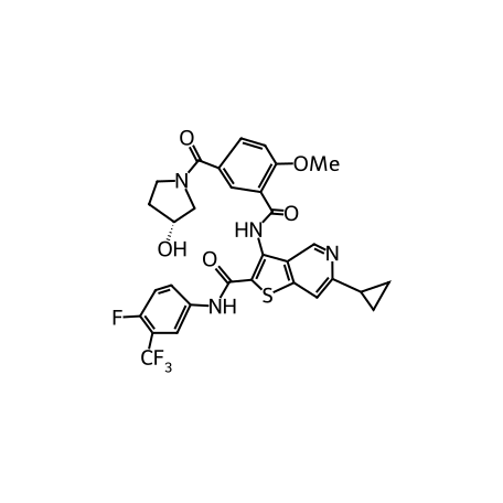 COc1ccc(C(=O)N2CC[C@@H](O)C2)cc1C(=O)Nc1c(C(=O)Nc2ccc(F)c(C(F)(F)F)c2)sc2cc(C3CC3)ncc12